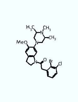 COc1cc2c(cc1N1CC(C)N(C)C(C)C1)N(C(=O)Cc1cccc(Cl)c1Br)CC2